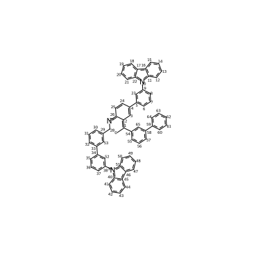 C/C(=C1/C=C(c2cccc(-n3c4ccccc4c4ccccc43)c2)C=C/C1=N/Cc1cccc(-c2cccc(-n3c4ccccc4c4ccccc43)c2)c1)c1cccc(-c2ccccc2)c1